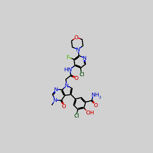 Cn1cnc2c(c(-c3cc(Cl)c(O)c(C(N)=O)c3)cn2CC(=O)Nc2c(Cl)cnc(N3CCOCC3)c2F)c1=O